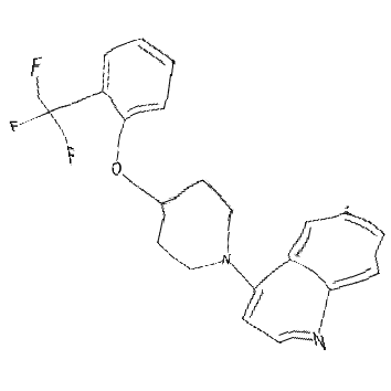 FC(F)(F)c1ccccc1OC1CCN(c2ccnc3cc[c]cc23)CC1